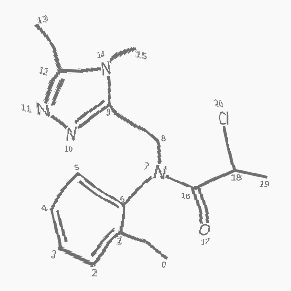 Cc1ccccc1N(Cc1nnc(C)n1C)C(=O)C(C)Cl